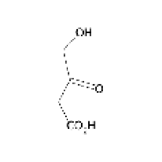 O=C(O)CC(=O)CO